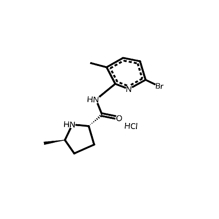 Cc1ccc(Br)nc1NC(=O)[C@@H]1CC[C@@H](C)N1.Cl